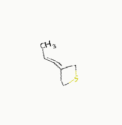 CC=C1CSC1